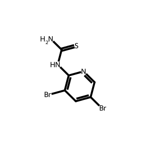 NC(=S)Nc1ncc(Br)cc1Br